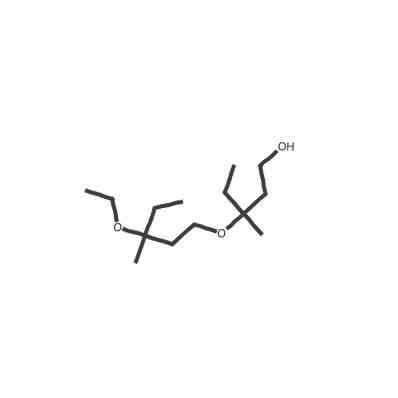 CCOC(C)(CC)CCOC(C)(CC)CCO